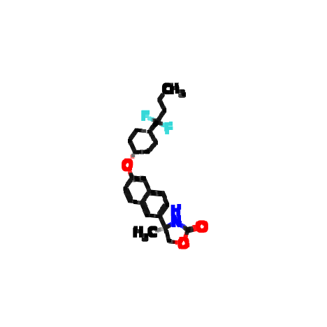 CCCC(F)(F)[C@H]1CC[C@H](Oc2ccc3cc([C@]4(C)COC(=O)N4)ccc3c2)CC1